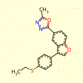 CCSc1ccc(-c2coc3ccc(-c4nnc(C)o4)cc23)cc1